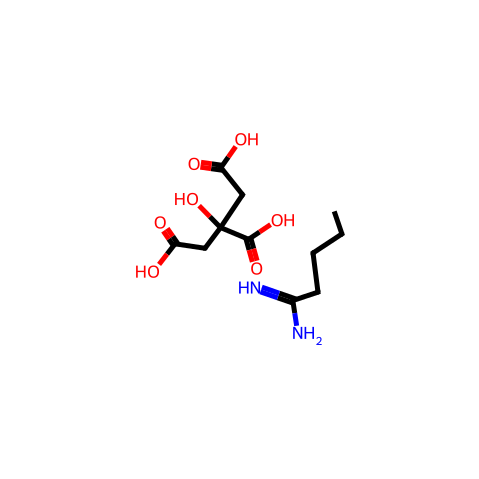 CCCCC(=N)N.O=C(O)CC(O)(CC(=O)O)C(=O)O